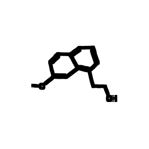 COc1ccc2cccc(CCO)c2c1